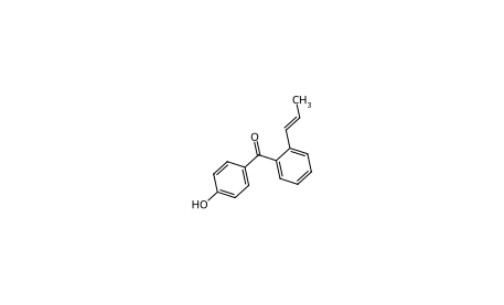 C/C=C/c1ccccc1C(=O)c1ccc(O)cc1